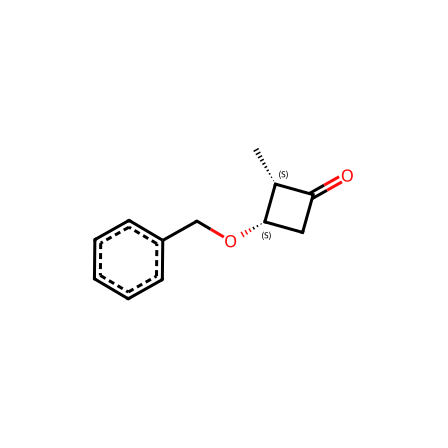 C[C@@H]1C(=O)C[C@@H]1OCc1ccccc1